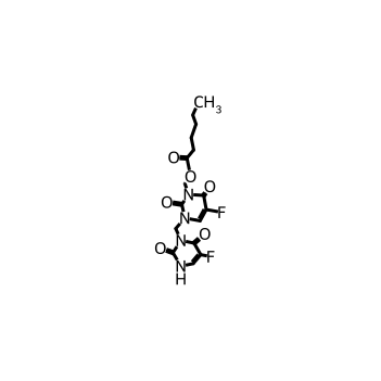 CCCCCC(=O)OCn1c(=O)c(F)cn(Cn2c(=O)[nH]cc(F)c2=O)c1=O